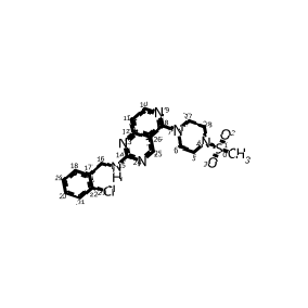 CS(=O)(=O)N1CCN(c2nccc3nc(NCc4ccccc4Cl)ncc23)CC1